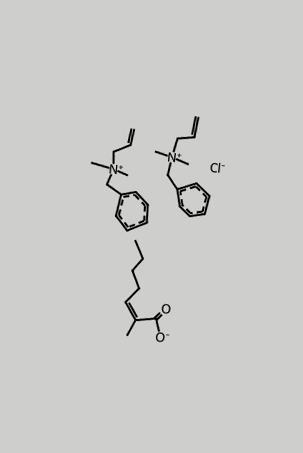 C=CC[N+](C)(C)Cc1ccccc1.C=CC[N+](C)(C)Cc1ccccc1.CCCCC=C(C)C(=O)[O-].[Cl-]